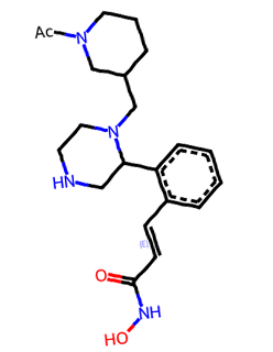 CC(=O)N1CCCC(CN2CCNCC2c2ccccc2/C=C/C(=O)NO)C1